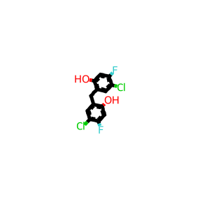 Oc1cc(F)c(Cl)cc1Cc1cc(Cl)c(F)cc1O